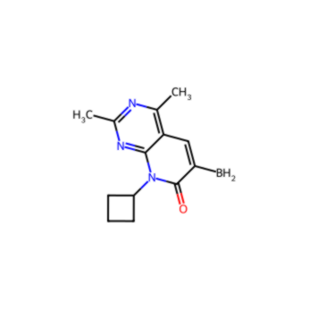 Bc1cc2c(C)nc(C)nc2n(C2CCC2)c1=O